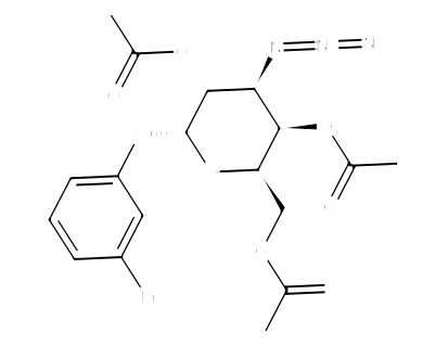 CC(=O)OC[C@H]1O[C@H](Sc2cccc(Br)c2)[C@H](OC(C)=O)[C@@H](N=[N+]=[N-])[C@H]1OC(C)=O